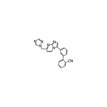 N#Cc1ccccc1-c1cccc(-c2cnc3nc(Cn4cncn4)ccn23)c1